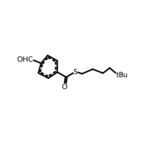 CC(C)(C)CCCCSC(=O)c1ccc(C=O)cc1